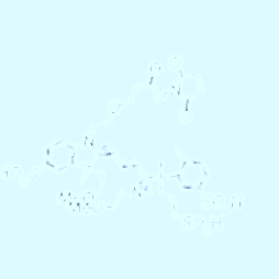 COCC\N=C(/C=C/C=C1/N(CCOCCC(=O)ON2C(=O)CCC2=O)c2ccc(S(=O)(=O)O)cc2C1(C)CCOC)C(C)(CCCS(=O)(=O)O)c1cc(S(=O)(=O)O)ccc1C